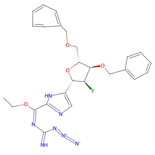 CCO/C(=N/C(=N)N=[N+]=[N-])c1ncc([C@@H]2O[C@H](COCc3ccccc3)[C@@H](OCc3ccccc3)[C@H]2F)[nH]1